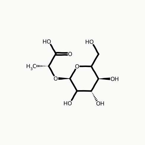 C[C@@H](O[C@H]1OC(CO)[C@@H](O)[C@H](O)C1O)C(=O)O